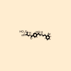 CCCC(CNC(=O)c1ccc(C(O)CNCCc2ccccc2C(C)=O)cc1)CC(=O)O